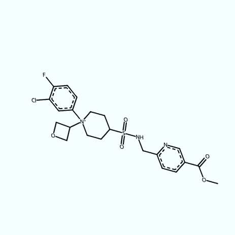 COC(=O)c1ccc(CNS(=O)(=O)C2CC[N+](c3ccc(F)c(Cl)c3)(C3COC3)CC2)nc1